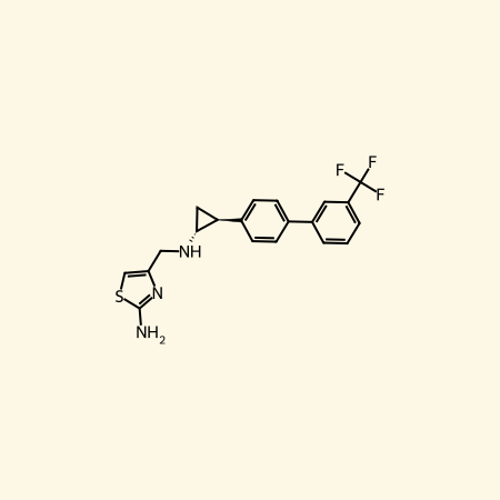 Nc1nc(CN[C@@H]2C[C@H]2c2ccc(-c3cccc(C(F)(F)F)c3)cc2)cs1